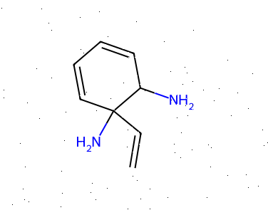 C=CC1(N)C=CC=CC1N